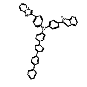 c1ccc(-c2ccc(-c3ccc(-c4ccc(N(c5ccc(-c6cn7ccccc7n6)cc5)c5ccc(-c6cc7ccccc7s6)cc5)cc4)cc3)cc2)cc1